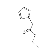 CCOC(=O)CS1=C=CC=C1